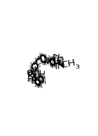 CNC(=O)c1ccc(N2CCC(CC3CCN(C(=O)C(O)(c4cccc5c4CCC5)C(F)(F)F)CC3)CC2)cc1Cl